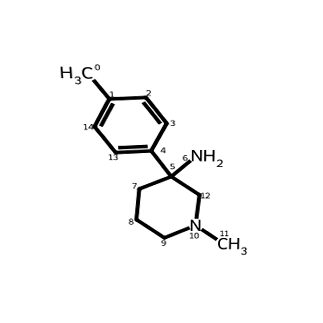 Cc1ccc(C2(N)CCCN(C)C2)cc1